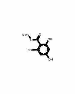 CCCCCCOC(=O)c1c(O)cc(O)cc1CCC